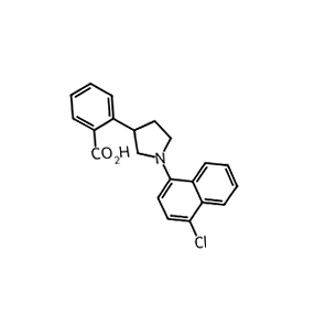 O=C(O)c1ccccc1C1CCN(c2ccc(Cl)c3ccccc23)C1